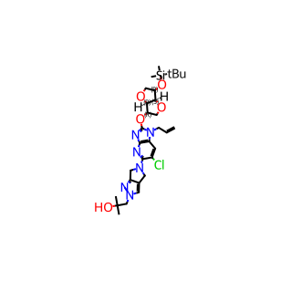 C=CCn1c(O[C@@H]2CO[C@H]3[C@@H]2OC[C@H]3O[Si](C)(C)C(C)(C)C)nc2nc(N3Cc4cn(CC(C)(C)O)nc4C3)c(Cl)cc21